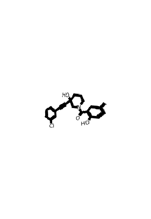 Cc1ccc(O)c(C(=O)N2CCCC(O)(C#Cc3cccc(Cl)c3)C2)c1